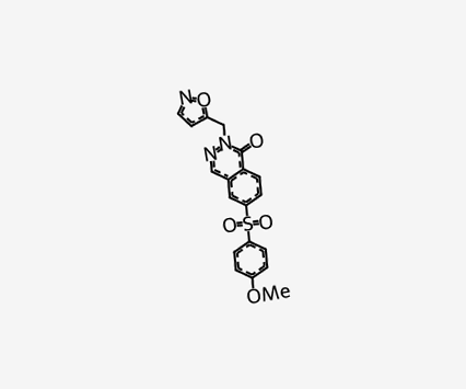 COc1ccc(S(=O)(=O)c2ccc3c(=O)n(Cc4ccno4)ncc3c2)cc1